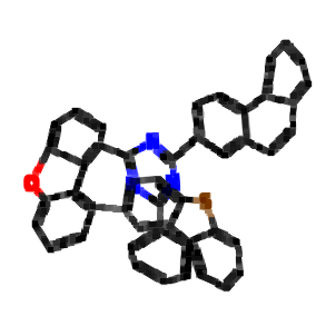 c1ccc(-c2nc(-c3ccc4c(ccc5ccccc54)c3)nc(-c3cccc4oc5cccc(-c6ccc7sc8ccccc8c7c6)c5c34)n2)cc1